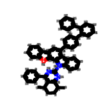 CC1CCC(C)c2c(-c3ccccc3)nc(-n3c4ccccc4c4c(-c5ccc(-c6ccccc6-c6ccccc6)cc5)cc5c6ccccc6oc5c43)nc21